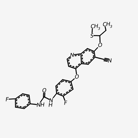 CCC(Oc1cc2nccc(Oc3ccc(NC(=O)Nc4ccc(F)cc4)c(F)c3)c2cc1C#N)SC